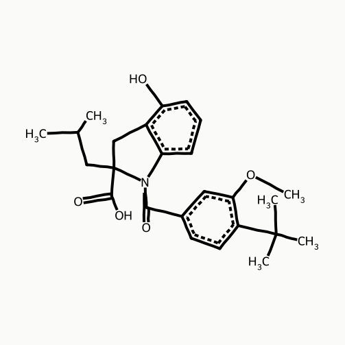 COc1cc(C(=O)N2c3cccc(O)c3CC2(CC(C)C)C(=O)O)ccc1C(C)(C)C